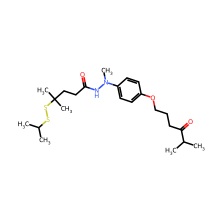 CC(C)SSC(C)(C)CCC(=O)NN(C)c1ccc(OCCCC(=O)C(C)C)cc1